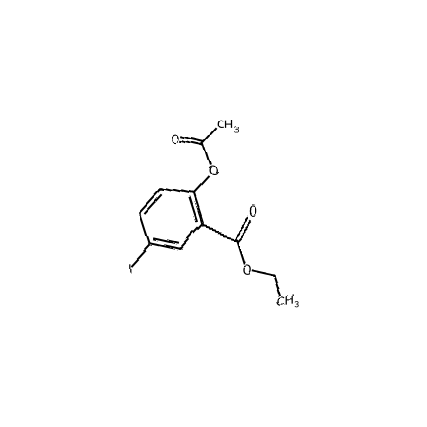 CCOC(=O)c1cc(I)ccc1OC(C)=O